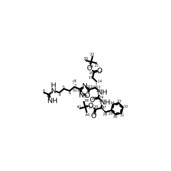 CC(=N)NCCC[C@H](C)c1noc([C@H](CCC(=O)OC(C)(C)C)NC(=O)N[C@@H](Cc2ccccc2)C(=O)OC(C)(C)C)n1